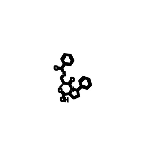 C[C@H](CSC(=O)c1ccccc1)C(=O)N1C(C(=O)O)CCC1c1ccccc1